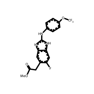 COC(=O)Cc1cc2nc(Nc3ccc(OC(F)(F)F)cc3)[nH]c2cc1F